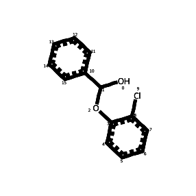 OC(Oc1ccccc1Cl)c1ccccc1